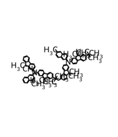 Cc1ccc2cc(N(c3ccc4c(c3)C(C)(C)c3ccc(CC(C)(C)c5ccc6c(c5)C(C)(C)c5cc(N(c7ccc8c(c7)C(C)(C)c7ccccc7-8)c7cc(C)c8ccccc8c7)ccc5-6)cc3-4)c3ccc4c(c3)C(C)(C)c3cc(C(C)(C)C)ccc3-4)ccc2c1